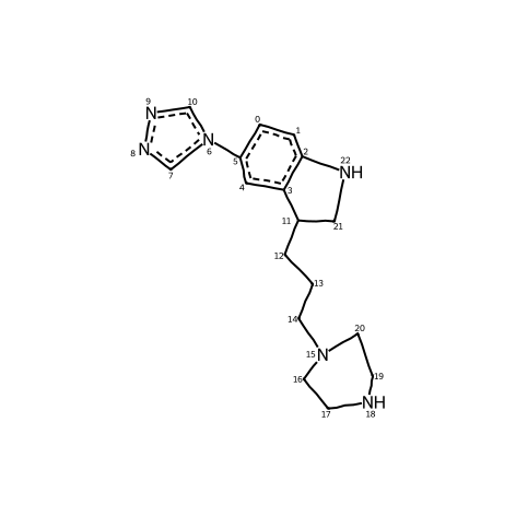 c1cc2c(cc1-n1cnnc1)C(CCCN1CCNCC1)CN2